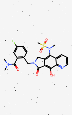 CN(C)C(=O)c1cc(F)ccc1CN1Cc2c(c(O)c3ncccc3c2N(C)S(C)(=O)=O)C1=O